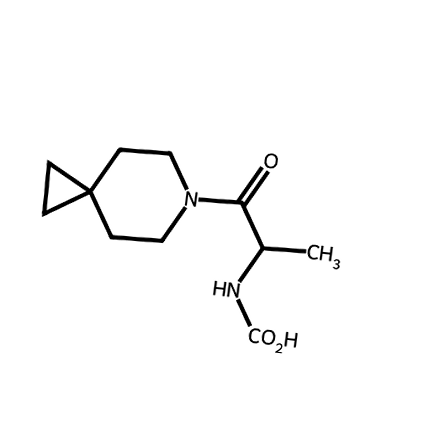 CC(NC(=O)O)C(=O)N1CCC2(CC1)CC2